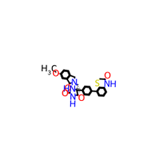 COc1ccc2c(c1)C(=O)N(C[C@@]1(c3ccc(-c4cccc5c4SCC(=O)N5)cc3)NC(=O)NC1=O)C2